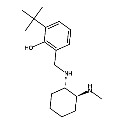 CN[C@H]1CCCC[C@@H]1NCc1cccc(C(C)(C)C)c1O